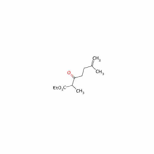 C=C(C)CCC(=O)C(C)C(=O)OCC